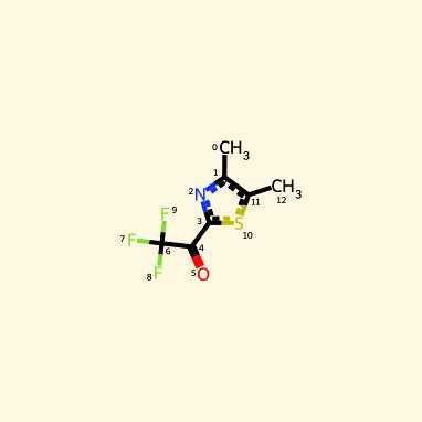 Cc1nc(C(=O)C(F)(F)F)sc1C